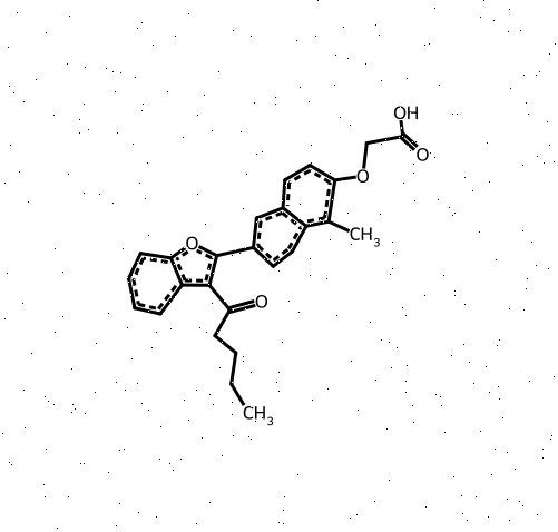 CCCCC(=O)c1c(-c2ccc3c(C)c(OCC(=O)O)ccc3c2)oc2ccccc12